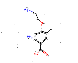 Cc1cc(C(=O)O)ccc1OCCN.N